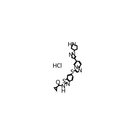 Cl.O=C(Nc1nc2ccc(Sc3cnc4ccc(-c5cnn(C6CCNCC6)c5)cn34)cc2s1)C1CC1